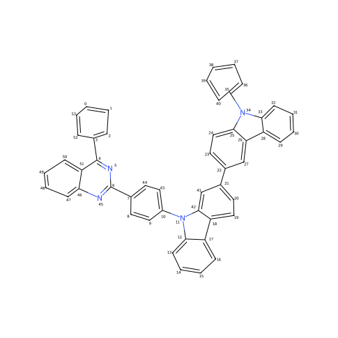 c1ccc(-c2nc(-c3ccc(-n4c5ccccc5c5ccc(-c6ccc7c(c6)c6ccccc6n7-c6ccccc6)cc54)cc3)nc3ccccc23)cc1